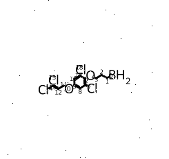 BCCCOc1c(Cl)cc(OCC=C(Cl)Cl)cc1Cl